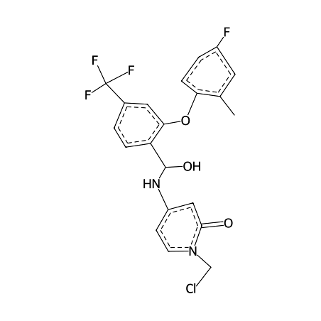 Cc1cc(F)ccc1Oc1cc(C(F)(F)F)ccc1C(O)Nc1ccn(CCl)c(=O)c1